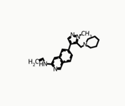 C=CNc1cc2cc(-c3cnn(C)c3CN3CCCCC3)ccc2cn1